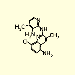 Cc1cc2c(N)ccc(Cl)c2nc1Nc1nccc(C)c1N